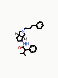 CC(C)C(C(=O)N[C@H]1CC[C@@H]2CN(CCCc3ccccc3)C[C@@H]21)c1ccccc1